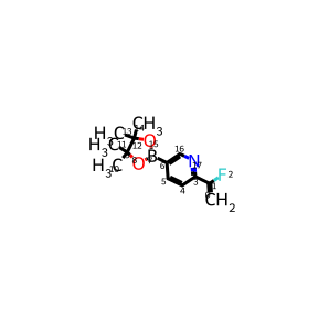 C=C(F)c1ccc(B2OC(C)(C)C(C)(C)O2)cn1